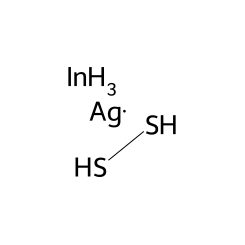 SS.[Ag].[InH3]